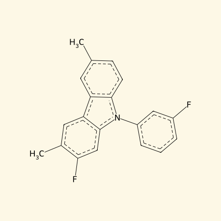 Cc1ccc2c(c1)c1cc(C)c(F)cc1n2-c1cccc(F)c1